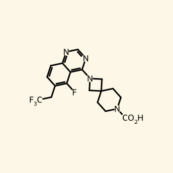 O=C(O)N1CCC2(CC1)CN(c1ncnc3ccc(CC(F)(F)F)c(F)c13)C2